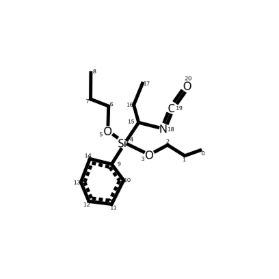 CCCO[Si](OCCC)(c1ccccc1)C(CC)N=C=O